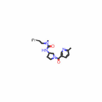 Cc1ccc(C(=O)N2CCC(NC(=O)N(C)CCC(C)C)C2)cn1